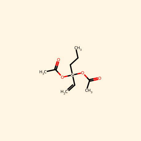 C=C[Si](CCC)(OC(C)=O)OC(C)=O